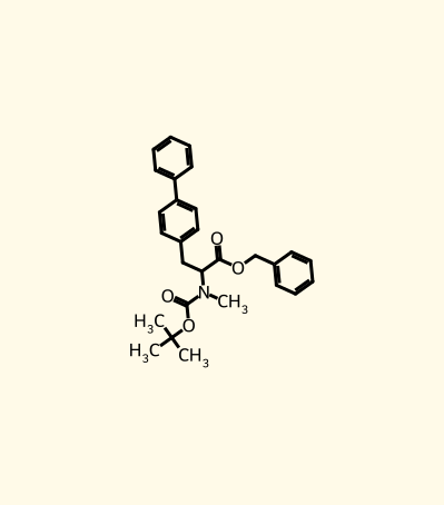 CN(C(=O)OC(C)(C)C)C(Cc1ccc(-c2ccccc2)cc1)C(=O)OCc1ccccc1